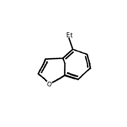 [CH2]Cc1cccc2occc12